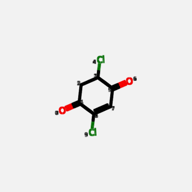 O=C1CC(Cl)C(=O)C=C1Cl